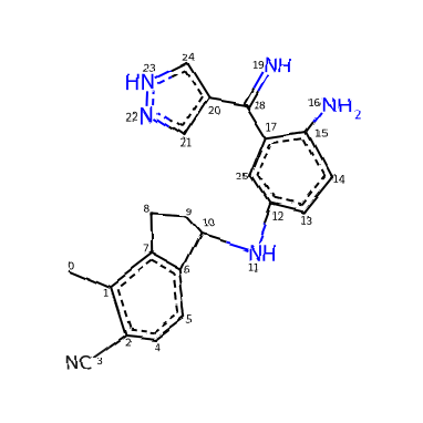 Cc1c(C#N)ccc2c1CCC2Nc1ccc(N)c(C(=N)c2cn[nH]c2)c1